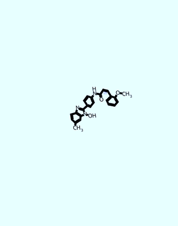 COc1ccccc1/C=C\C(=O)Nc1ccc(-c2nc3ccc(C)cc3n2O)cc1